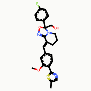 COc1cc(/C=C2\CCCN3C2=NOC3(CO)c2ccc(F)cc2)ccc1-c1ncc(C)s1